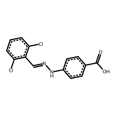 O=C(O)c1ccc(N/N=C/c2c(Cl)cccc2Cl)cc1